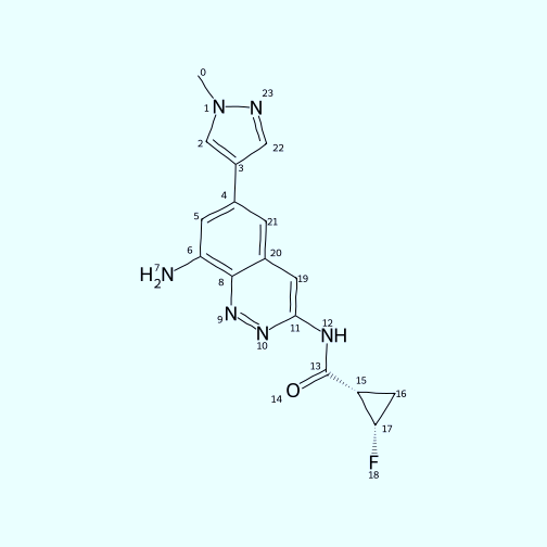 Cn1cc(-c2cc(N)c3nnc(NC(=O)[C@@H]4C[C@@H]4F)cc3c2)cn1